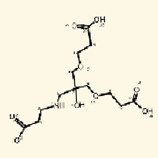 O=C(O)CCNCC(O)(COCCC(=O)O)COCCC(=O)O